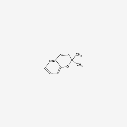 CC1(C)C=Cc2ncccc2O1